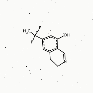 CC(F)(F)c1cc(O)c2c(c1)CCN=C2